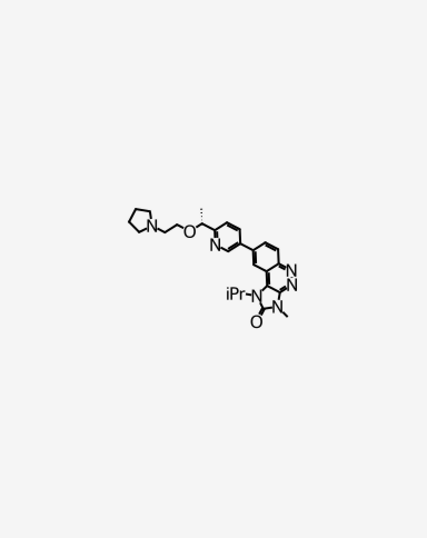 CC(C)n1c(=O)n(C)c2nnc3ccc(-c4ccc([C@@H](C)OCCN5CCCC5)nc4)cc3c21